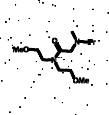 COCCN(CCOC)C(=O)CN(C)C(C)C